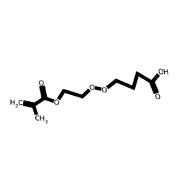 C=C(C)C(=O)OCCOOCCCC(=O)O